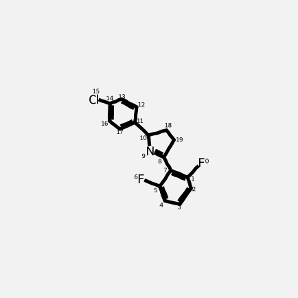 Fc1cccc(F)c1C1=NC(c2ccc(Cl)cc2)CC1